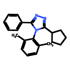 Cc1cccc(C)c1-n1c(-c2ccccc2)nnc1C1CCCC1